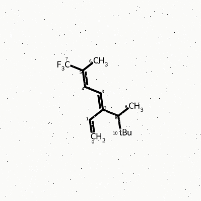 C=C/C(=C\C=C(/C)C(F)(F)F)C(C)C(C)(C)C